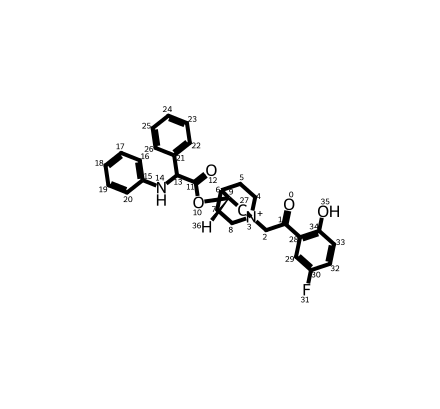 O=C(C[N+]12CCC(CC1)[C@@H](OC(=O)C(Nc1ccccc1)c1ccccc1)C2)c1cc(F)ccc1O